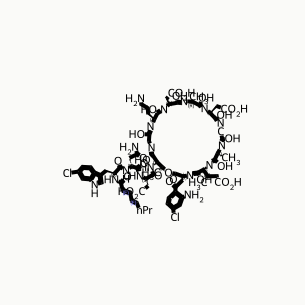 CCC/C=C/C=C/C(=O)N[C@@H](Cc1c[nH]c2cc(Cl)ccc12)C(=O)N[C@H](CC(N)=O)C(=O)N[C@@H](CC(=O)O)C(=O)N[C@@H]1C(O)=NCC(O)=N[C@@H](CCCN)C(O)=N[C@@H](CC(=O)O)C(O)=N[C@H](C)C(O)=N[C@@H](CC(=O)O)C(O)=NCC(O)=N[C@H](C)C(O)=N[C@@H]([C@H](C)CC(=O)O)C(O)=N[C@@H](CC(=O)c2ccc(Cl)cc2N)C(=O)O[C@@H]1C